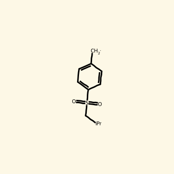 [CH2]c1ccc(S(=O)(=O)CC(C)C)cc1